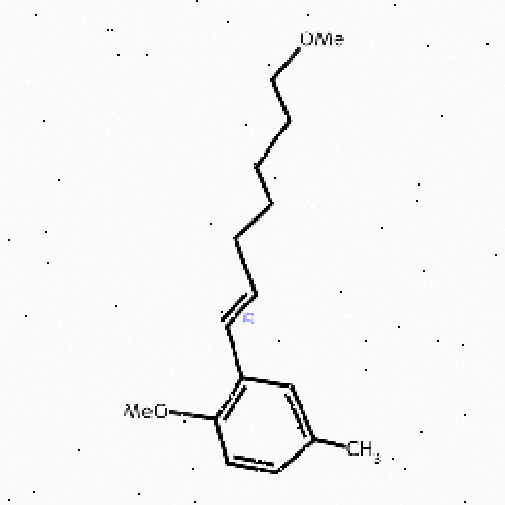 COCCCCC/C=C/c1cc(C)ccc1OC